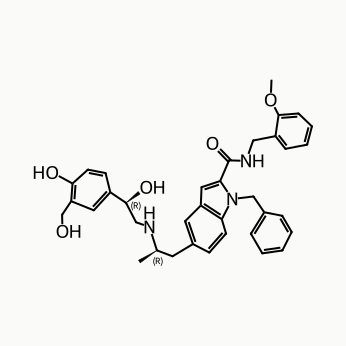 COc1ccccc1CNC(=O)c1cc2cc(C[C@@H](C)NC[C@H](O)c3ccc(O)c(CO)c3)ccc2n1Cc1ccccc1